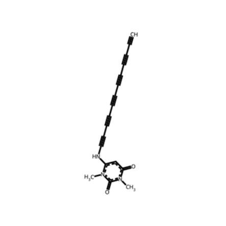 C#CC#CC#CC#CC#CC#CNc1cc(=O)n(C)c(=O)n1C